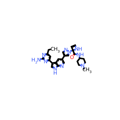 CCc1cc(-c2c[nH]c3ncc(-c4cnn(C5(C(=O)NC6CCN(C)CC6)C=CN5)c4)cc23)nc(N)n1